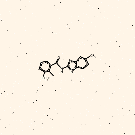 Cc1c(C(=O)O)cccc1C(=O)Nc1nc2ccc(C(F)(F)F)cc2s1